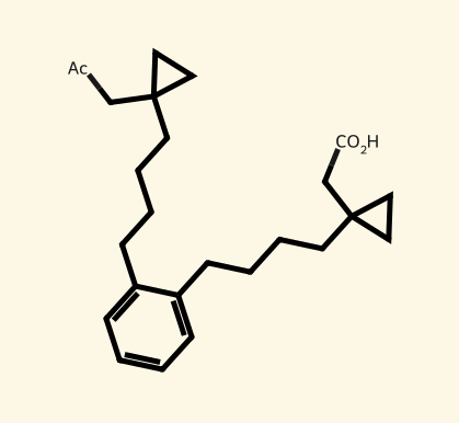 CC(=O)CC1(CCCCc2ccccc2CCCCC2(CC(=O)O)CC2)CC1